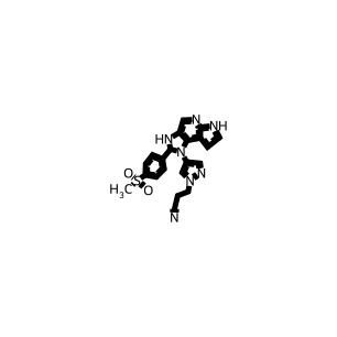 CS(=O)(=O)c1ccc(C2Nc3cnc4[nH]ccc4c3N2c2cnn(CCC#N)c2)cc1